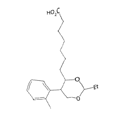 CCC1OCC(c2ccccc2C)C(CCCCCCC(=O)O)O1